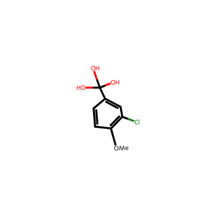 COc1ccc(C(O)(O)O)cc1Cl